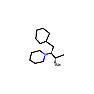 CN[C@H](C)[C@H](CC1CCCCC1)N1CCCCC1